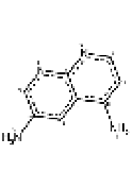 Nc1cnc2nccc(N)c2c1